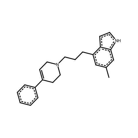 Cc1cc(CCCN2CC=C(c3ccccc3)CC2)c2cc[nH]c2c1